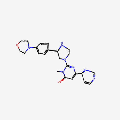 Cn1c(N2CCNC(c3ccc(N4CCOCC4)cc3)C2)nc(-c2ccncn2)cc1=O